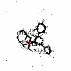 CCOC(=O)CC1(O)CC2COCC(C1O)N2Cc1nc(-c2nccs2)nc(-c2ccc(F)cc2Cl)c1C(=O)O